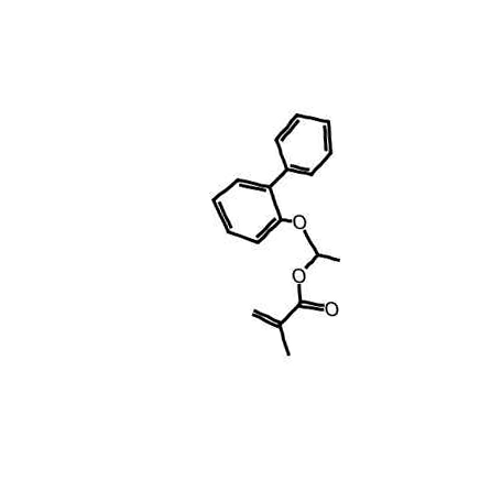 C=C(C)C(=O)OC(C)Oc1ccccc1-c1ccccc1